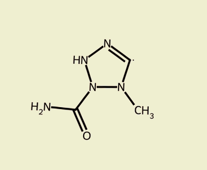 CN1[C]=NNN1C(N)=O